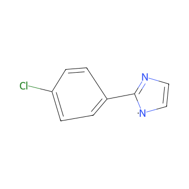 Clc1ccc(C2=NC=C[N]2)cc1